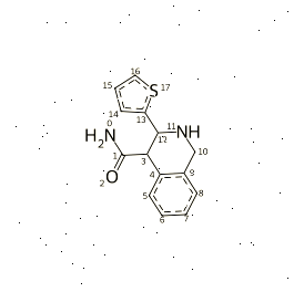 NC(=O)C1c2ccccc2CNC1c1cccs1